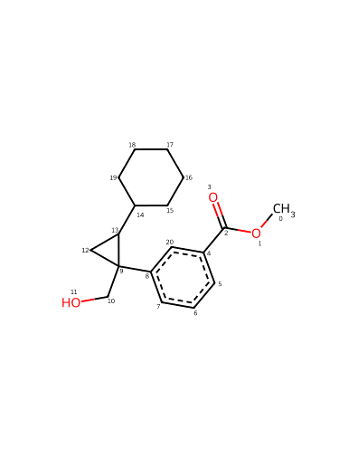 COC(=O)c1cccc(C2(CO)CC2C2CCCCC2)c1